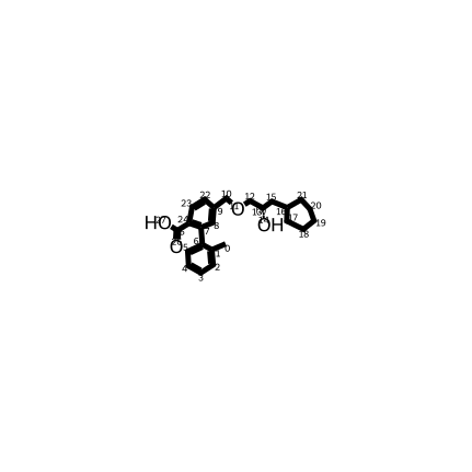 Cc1ccccc1-c1cc(COC[C@@H](O)CC2CCCCC2)ccc1C(=O)O